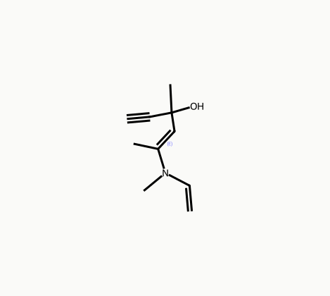 C#CC(C)(O)/C=C(\C)N(C)C=C